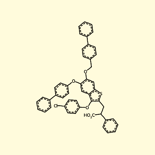 O=C(O)C(Cc1sc2cc(OCc3ccc(-c4ccccc4)cc3)c(Oc3ccc(-c4ccccc4)cc3)cc2c1Oc1ccc(Cl)cc1)c1ccccc1